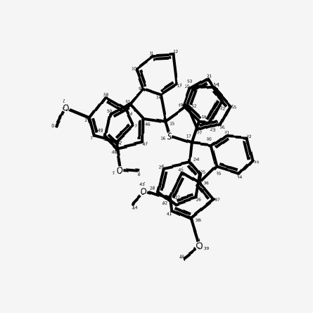 COc1cc(OC)cc(-c2ccccc2C(SC(c2ccccc2)(c2ccccc2)c2ccccc2-c2cc(OC)cc(OC)c2)(c2ccccc2)c2ccccc2)c1